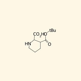 CC(C)(C)OC(=O)C1CCCNC1C(=O)O